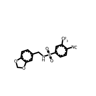 [C-]#[N+]c1ccc(S(=O)(=O)NCc2ccc3c(c2)OCO3)cc1C(F)(F)F